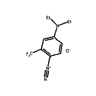 CCN(CC)c1ccc([N+]#N)c(C(F)(F)F)c1.[Cl-]